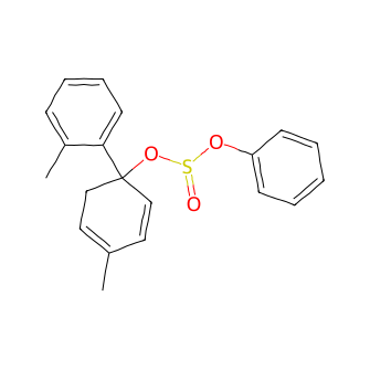 CC1=CCC(OS(=O)Oc2ccccc2)(c2ccccc2C)C=C1